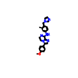 COc1ccc(-c2cnc3c(Nc4ccc(Cn5ccnc5)c(C)c4)nccn23)cc1